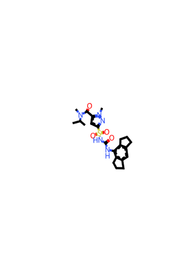 CC(C)N(C)C(=O)c1cc(S(=O)(=O)NC(=O)Nc2c3c(cc4c2CCC4)CCC3)nn1C